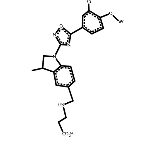 CC(C)Oc1ccc(-c2nc(N3CC(C)c4cc(CNCCC(=O)O)ccc43)no2)cc1Cl